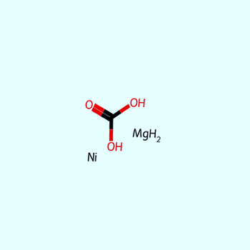 O=C(O)O.[MgH2].[Ni]